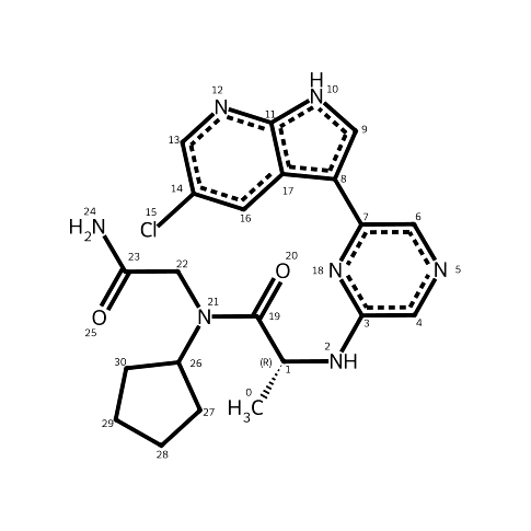 C[C@@H](Nc1cncc(-c2c[nH]c3ncc(Cl)cc23)n1)C(=O)N(CC(N)=O)C1CCCC1